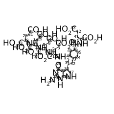 NC(CCC(=O)O)C(=O)O.NC(CCC(=O)O)C(=O)O.NC(CCC(=O)O)C(=O)O.NC(CCC(=O)O)C(=O)O.Nc1nc(=O)c2c(CCc3ccc(C(=O)N[C@@H](CCC(=O)O)C(=O)O)cc3)c[nH]c2[nH]1